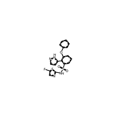 O=S(=O)(Nc1ncc(F)s1)c1cccc(Oc2ccccc2)c1-c1ccn[nH]1